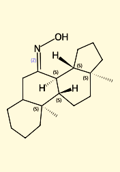 C[C@@]12CCC[C@H]1[C@@H]1/C(=N\O)CC3CCCC[C@]3(C)[C@H]1CC2